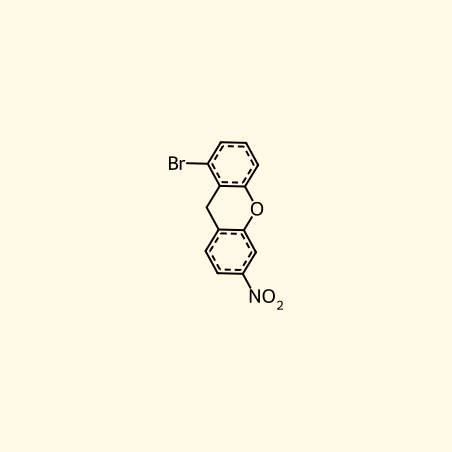 O=[N+]([O-])c1ccc2c(c1)Oc1cccc(Br)c1C2